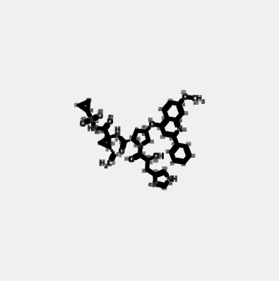 C=C[C@@H]1C[C@]1(NC(=O)[C@@H]1C[C@@H](Oc2cc(-c3ccccc3)nc3cc(OC)ccc23)CN1C(=O)[C@@H](O)Cc1c[nH]cn1)C(=O)NS(=O)(=O)C1CC1